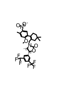 COc1cc(C)c([N+](=O)[O-])cc1C1=C(CN2C(=O)O[C@H](c3cc(C(F)(F)F)cc(C(F)(F)F)c3)[C@@H]2C)CC(C)(C)CC1